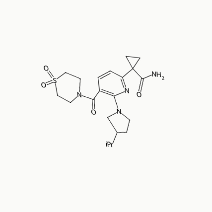 CC(C)C1CCN(c2nc(C3(C(N)=O)CC3)ccc2C(=O)N2CCS(=O)(=O)CC2)C1